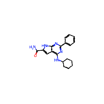 NC(=O)c1cc2c(NC3CCCCC3)nc(-c3ccccc3)nc2[nH]1